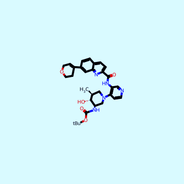 C[C@H]1CN(c2ccncc2NC(=O)c2ccc3ccc(C4=CCOCC4)cc3n2)C[C@@H](NC(=O)OC(C)(C)C)[C@@H]1O